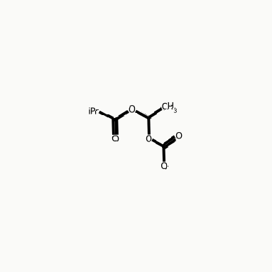 CC(OC([O])=O)OC(=O)C(C)C